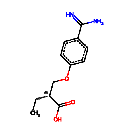 CC[C@H](COc1ccc(C(=N)N)cc1)C(=O)O